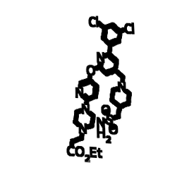 CCOC(=O)CCN1CCN(c2ccc(Oc3cc(CN4CCC(CS(N)(=O)=O)CC4)cc(-c4cc(Cl)cc(Cl)c4)n3)cn2)CC1